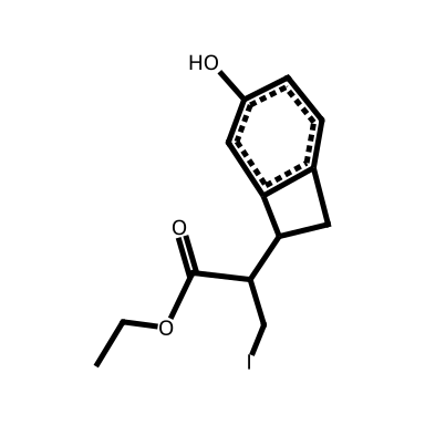 CCOC(=O)C(CI)C1Cc2ccc(O)cc21